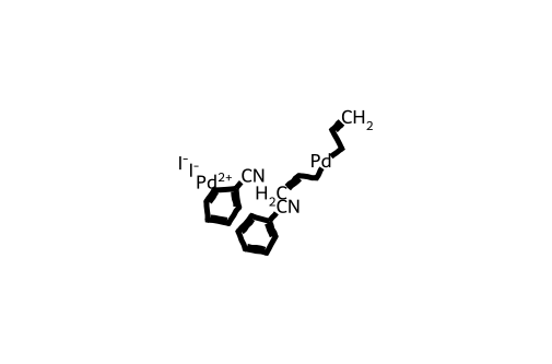 C=C[CH2][Pd][CH2]C=C.N#Cc1ccccc1.N#Cc1ccccc1.[I-].[I-].[Pd+2]